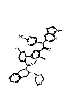 Cc1c(C(=O)N(c2cnc(O)nc2)c2cnc3c(ccn3C)c2)cc(-c2cc(Cl)ccc2C(=O)N2Cc3ccccc3C[C@H]2CN2CCOCC2)n1C